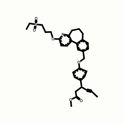 CC#CC(CC(=O)OC)c1ccc(OCc2ccc3c(c2)-c2ccc(OCCCS(=O)(=O)CC)nc2CCC3)cc1